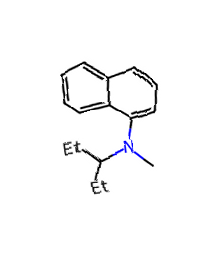 CCC(CC)N(C)c1cccc2ccccc12